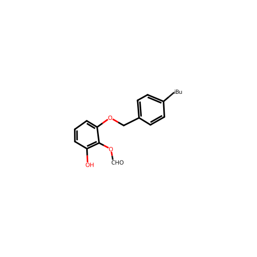 CCC(C)c1ccc(COc2cccc(O)c2OC=O)cc1